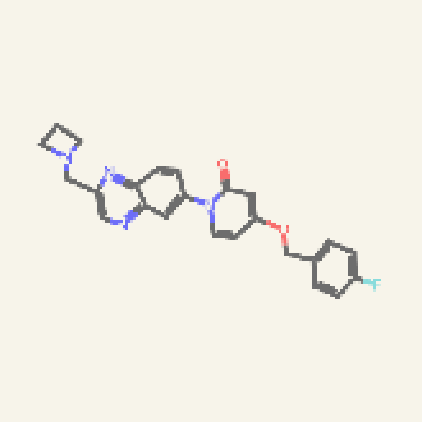 O=c1cc(OCc2ccc(F)cc2)ccn1-c1ccc2nc(CN3CCC3)cnc2c1